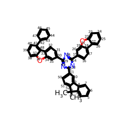 CC1(C)c2ccccc2-c2cc(-c3nc(-c4ccc5c(c4)oc4ccccc45)nc(-c4ccc5c(c4)oc4cccc(-c6ccccc6)c45)n3)ccc21